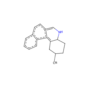 N#CC1CCC2NC=c3ccc4ccccc4c3=C2C1